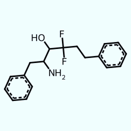 NC(Cc1ccccc1)C(O)C(F)(F)CCc1ccccc1